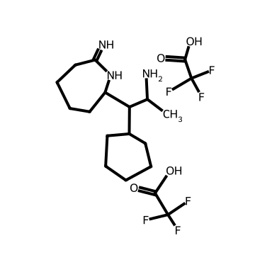 CC(N)C(C1CCCCC1)C1CCCCC(=N)N1.O=C(O)C(F)(F)F.O=C(O)C(F)(F)F